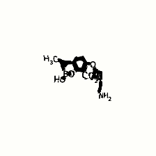 CC1C2B(O)Oc3c(ccc(OC4CN(CCN)C4)c3C(=O)O)C12